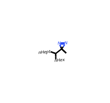 CCCCCCCC(CCCCCC)C1(C)N=N1